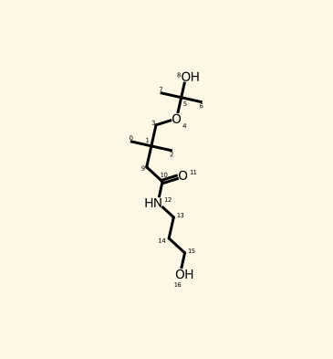 CC(C)(COC(C)(C)O)CC(=O)NCCCO